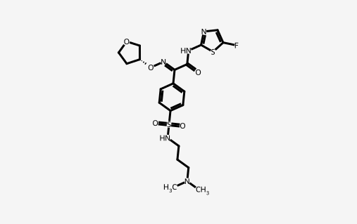 CN(C)CCCNS(=O)(=O)c1ccc(/C(=N\O[C@@H]2CCOC2)C(=O)Nc2ncc(F)s2)cc1